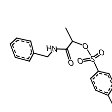 Cc1ccc(S(=O)(=O)OC(C)C(=O)NCc2ccccc2)cc1